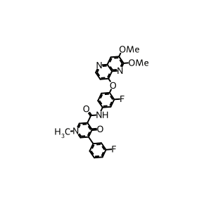 COc1cc2nccc(Oc3ccc(NC(=O)c4cn(C)cc(-c5cccc(F)c5)c4=O)cc3F)c2nc1OC